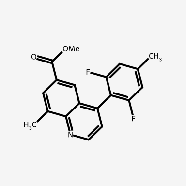 COC(=O)c1cc(C)c2nccc(-c3c(F)cc(C)cc3F)c2c1